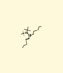 CCCCCN(CCCCC)N(C(C)(C)C)C(C)(C)C